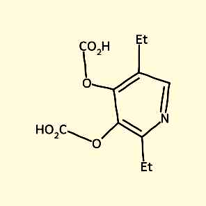 CCc1cnc(CC)c(OC(=O)O)c1OC(=O)O